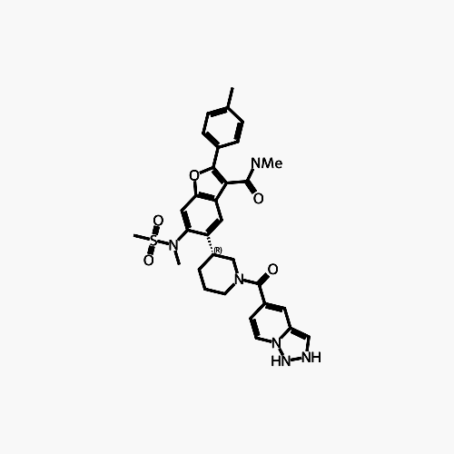 CNC(=O)c1c(-c2ccc(C)cc2)oc2cc(N(C)S(C)(=O)=O)c([C@H]3CCCN(C(=O)C4=CC5=CNNN5C=C4)C3)cc12